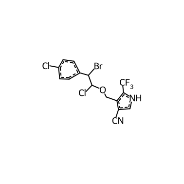 N#Cc1c[nH]c(C(F)(F)F)c1COC(Cl)C(Br)c1ccc(Cl)cc1